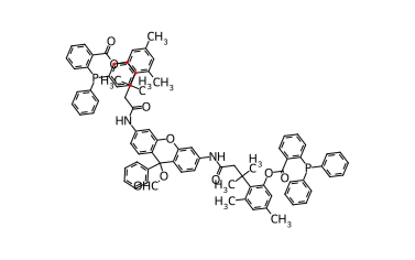 Cc1cc(C)c(C(C)(C)CC(=O)Nc2ccc3c(c2)Oc2cc(NC(=O)CC(C)(C)c4c(C)cc(C)cc4OC(=O)c4ccccc4P(c4ccccc4)c4ccccc4)ccc2C3(OC=O)c2ccccc2)c(OC(=O)c2ccccc2P(c2ccccc2)c2ccccc2)c1